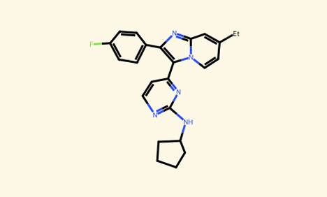 CCc1ccn2c(-c3ccnc(NC4CCCC4)n3)c(-c3ccc(F)cc3)nc2c1